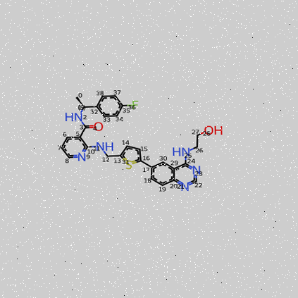 C[C@H](NC(=O)c1cccnc1NCc1ccc(-c2ccc3ncnc(NCCO)c3c2)s1)c1ccc(F)cc1